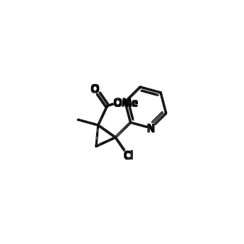 COC(=O)C1(C)CC1(Cl)c1ccccn1